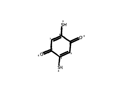 O=C1C=C(S)C(=O)C=C1S